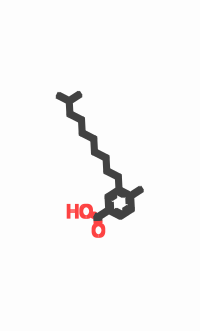 Cc1ccc(C(=O)O)cc1CCCCCCCCC(C)C